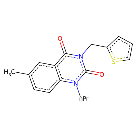 CCCn1c(=O)n(Cc2cccs2)c(=O)c2cc(C)ccc21